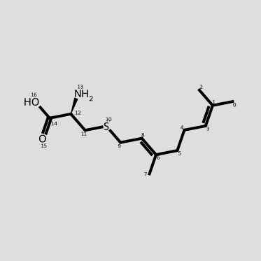 CC(C)=CCCC(C)=CCSC[C@H](N)C(=O)O